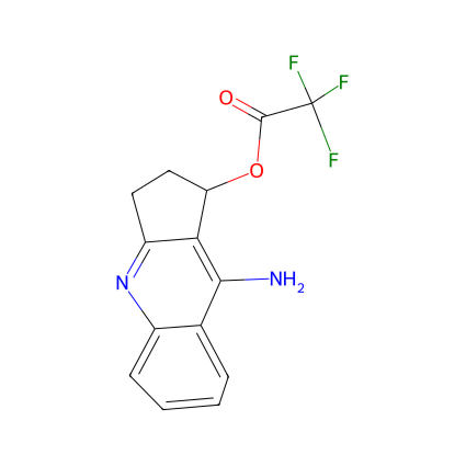 Nc1c2c(nc3ccccc13)CCC2OC(=O)C(F)(F)F